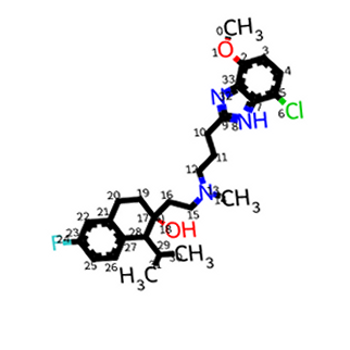 COc1ccc(Cl)c2[nH]c(CCCN(C)CC[C@@]3(O)CCc4cc(F)ccc4C3C(C)C)nc12